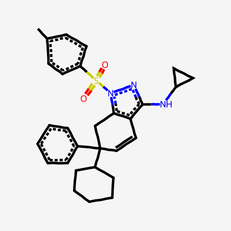 Cc1ccc(S(=O)(=O)n2nc(NC3CC3)c3c2CC(c2ccccc2)(C2CCCCC2)C=C3)cc1